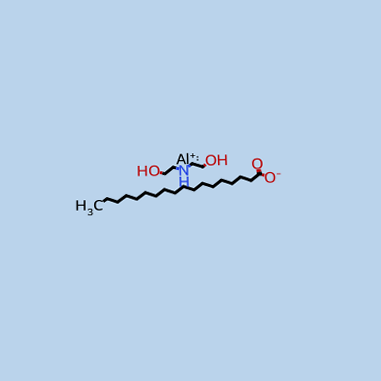 CCCCCCCCCCCCCCCCCC(=O)[O-].OCCNCCO.[Al+]